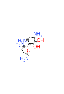 NC[C@@H]1CC[C@@H](N)C([C@H]2[C@H](O)[C@@H](O)[C@H](N)C[C@@H]2N)O1